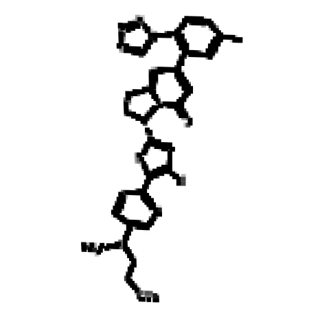 COCCN(C(=O)O)c1ccc(-c2[nH]c([C@@H]3CCc4cc(-c5cc(C)ccc5-n5cnnn5)cc(=O)n43)nc2Cl)nc1